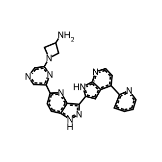 NC1CN(c2cncc(-c3ccc4[nH]nc(-c5cc6c(-c7ccccn7)ccnc6[nH]5)c4n3)n2)C1